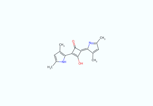 CC1=CC(C)=NC1=C1C(=O)C(c2[nH]c(C)cc2C)=C1O